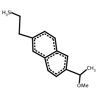 COC(C)c1ccc2cc(CC[SiH3])ccc2c1